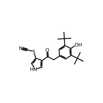 CC(C)(C)c1cc(CC(=O)c2c[nH]cc2SC#N)cc(C(C)(C)C)c1O